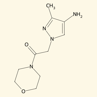 Cc1nn(CC(=O)N2CCOCC2)cc1N